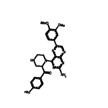 CCCCc1ccc(C(=O)C2CNCCN2c2nc(N)nc3ncc(-c4ccc(OC)c(OC)c4)nc23)cc1